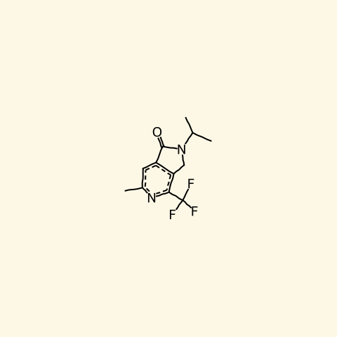 Cc1cc2c(c(C(F)(F)F)n1)CN(C(C)C)C2=O